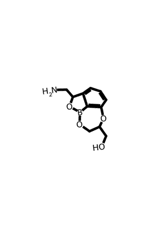 NCC1OB2OCC(CO)Oc3cccc1c32